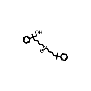 CC(C)(CCCC[S+]([O-])CCCCC(C)(CO)c1ccccc1)c1ccccc1